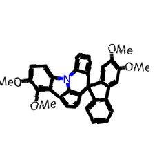 COc1cc2c(cc1OC)C1(c3ccccc3-2)c2ccccc2-n2c3ccc(OC)c(OC)c3c3cccc1c32